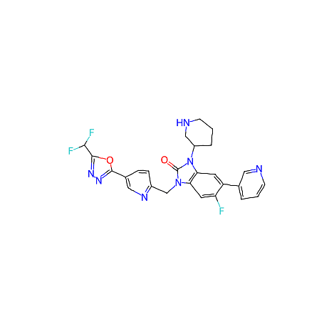 O=c1n(Cc2ccc(-c3nnc(C(F)F)o3)cn2)c2cc(F)c(-c3cccnc3)cc2n1C1CCCNC1